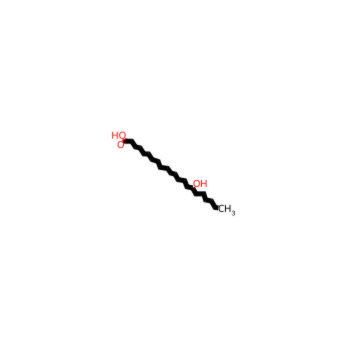 CCCCCCC(O)CCCCCCCCCCCCCCC(=O)O